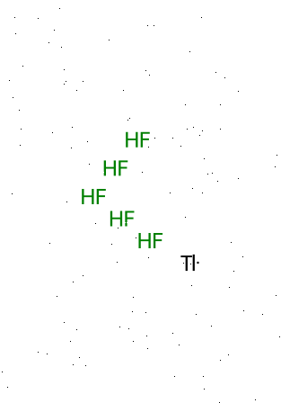 F.F.F.F.F.[Tl]